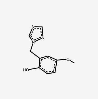 COc1ccc(O)c(Cn2cncn2)c1